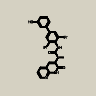 CC(C)c1cc(-c2cccc(O)c2)cc(C(C)C)c1NC(=O)N(C)c1cc2cccnc2[nH]c1=O